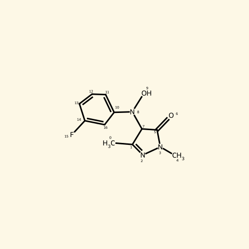 CC1=NN(C)C(=O)C1N(O)c1cccc(F)c1